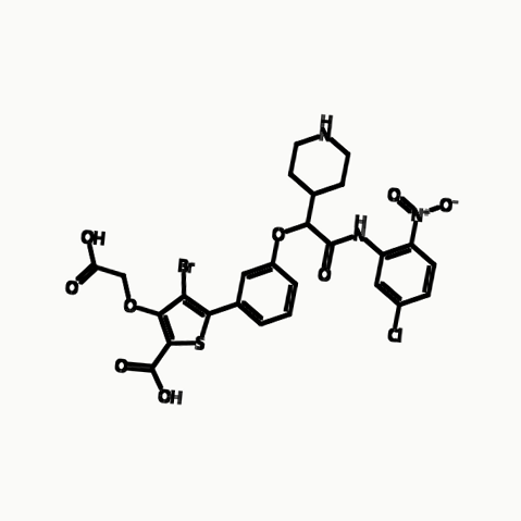 O=C(O)COc1c(C(=O)O)sc(-c2cccc(OC(C(=O)Nc3cc(Cl)ccc3[N+](=O)[O-])C3CCNCC3)c2)c1Br